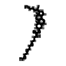 CCOCCOCCOCCCNC(=O)O[C@H]1CC[C@@]2(C)C(=CCC3C2CC[C@@]2(C)C3CC[C@@H]2[C@H](C)CCCC(C)C)C1